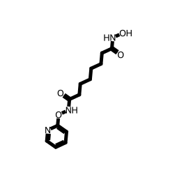 O=C(CCCCCCC(=O)NOc1ccccn1)NO